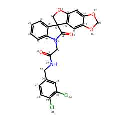 O=C(CN1C(=O)C2(COc3cc4c(cc32)OCO4)c2ccccc21)NCc1ccc(Cl)c(Cl)c1